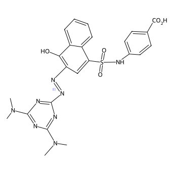 CN(C)c1nc(/N=N/c2cc(S(=O)(=O)Nc3ccc(C(=O)O)cc3)c3ccccc3c2O)nc(N(C)C)n1